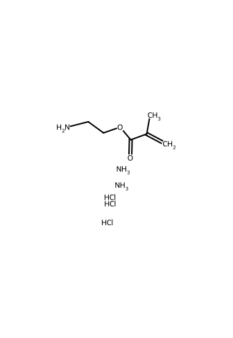 C=C(C)C(=O)OCCN.Cl.Cl.Cl.N.N